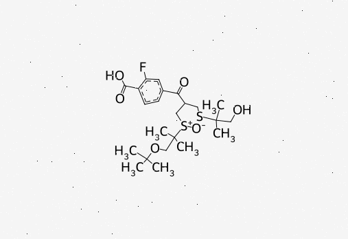 CC(C)(C)OCC(C)(C)[S+]([O-])CC(CSC(C)(C)CO)C(=O)c1ccc(C(=O)O)c(F)c1